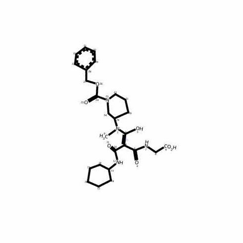 CN(/C(O)=C(/C(=O)NCC(=O)O)C(=O)NC1CCCCC1)C1CCCN(C(=O)OCc2ccccc2)C1